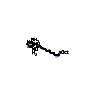 CCCCCCCC/C=C\CCCCCCCC(=O)Nc1c(N)ncnc1N